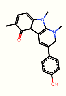 CC1=CC=C2C(C1=O)C1=C(N(C)CC(c3ccc(O)cc3)=C1)N2C